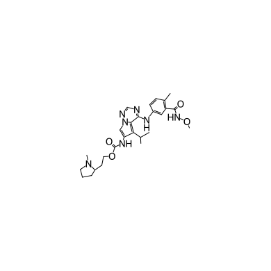 CONC(=O)c1cc(Nc2ncnn3cc(NC(=O)OCCC4CCCN4C)c(C(C)C)c23)ccc1C